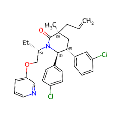 C=CC[C@@]1(C)C[C@H](c2cccc(Cl)c2)[C@@H](c2ccc(Cl)cc2)N([C@@H](CC)COc2cccnc2)C1=O